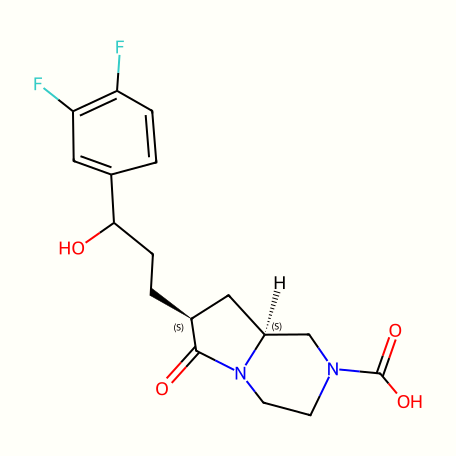 O=C(O)N1CCN2C(=O)[C@@H](CCC(O)c3ccc(F)c(F)c3)C[C@H]2C1